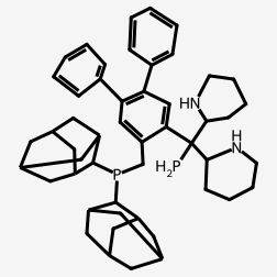 PC(c1cc(-c2ccccc2)c(-c2ccccc2)cc1CP(C1C2CC3CC(C2)CC1C3)C1C2CC3CC(C2)CC1C3)(C1CCCCN1)C1CCCCN1